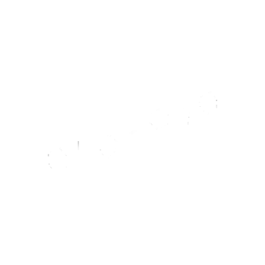 O=C(Oc1ccc(C#Cc2ccc(OC(=O)c3ccccc3)cc2)cc1)c1ccccc1